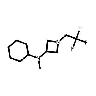 CN(C1CCCCC1)C1CN(CC(F)(F)F)C1